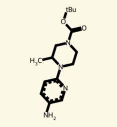 CC1CN(C(=O)OC(C)(C)C)CCN1c1ccc(N)cn1